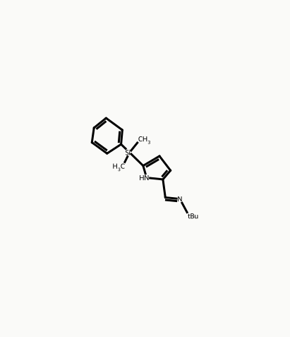 CC(C)(C)/N=C/c1ccc([Si](C)(C)c2ccccc2)[nH]1